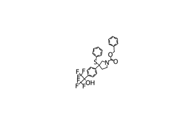 O=C(OCc1ccccc1)N1CCC(Sc2ccccc2)(c2ccc(C(O)(C(F)(F)F)C(F)(F)F)cc2)C1